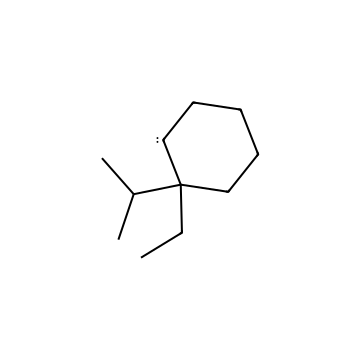 CCC1(C(C)C)[C]CCCC1